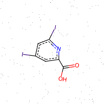 O=C(O)c1cc(I)cc(I)n1